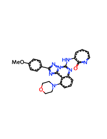 COc1ccc(-c2nc3c4c(N5CCOCC5)cccc4nc(Nc4ccccnc4=O)n3n2)cc1